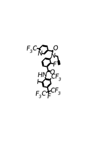 C#CCN(C(=O)c1ccc(C(F)(F)F)nc1)c1cccc(C(=O)Nc2c(I)cc(C(F)(C(F)(F)F)C(F)(F)F)cc2C(F)(F)F)c1F